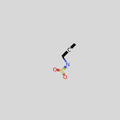 C=C=CN=S(=O)=O